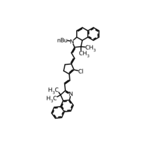 CCCCN1/C(=C/C=C2\CCC(/C=C/C3=Nc4ccc5ccccc5c4C3(C)C)=C2Cl)C(C)(C)C2c3ccccc3C=CC21